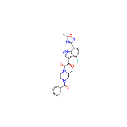 Cc1nc(-c2ccc(F)c3c(C(=O)C(=O)N4CCN(C(=O)c5ccccc5)CC4C)c[nH]c23)no1